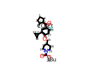 CCOC(=O)C1CCCC1C(=O)c1cc(C2CC2)c(OCC2CCN(C(=O)OC(C)(C)C)CC2)cc1F